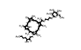 CCCC(CCCOC(C)=O)C(=O)CC[C@@H]1c2nc(cc3[nH]c(cc4nc(cc5[nH]c(cc5C)c2C)C(CC)=C4C)c(C(C)OCCCS[C@@H]2O[C@H](COC(C)=O)[C@@H](OC(C)=O)[C@H](OC(C)=O)[C@H]2OC(C)=O)c3C)[C@H]1C